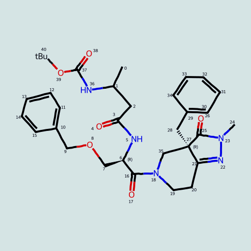 CC(CC(=O)N[C@H](COCc1ccccc1)C(=O)N1CCC2=NN(C)C(=O)[C@]2(Cc2ccccc2)C1)NC(=O)OC(C)(C)C